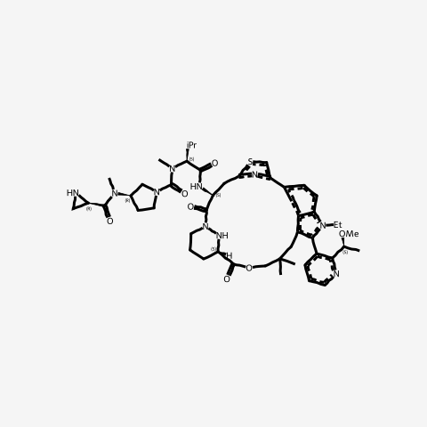 CCn1c(-c2cccnc2[C@H](C)OC)c2c3cc(ccc31)-c1csc(n1)C[C@H](NC(=O)[C@H](C(C)C)N(C)C(=O)N1CC[C@@H](N(C)C(=O)[C@H]3CN3)C1)C(=O)N1CCC[C@H](N1)C(=O)OCC(C)(C)C2